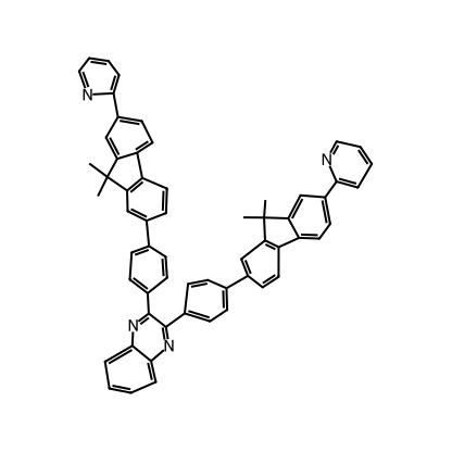 CC1(C)c2cc(-c3ccc(-c4nc5ccccc5nc4-c4ccc(-c5ccc6c(c5)C(C)(C)c5cc(-c7ccccn7)ccc5-6)cc4)cc3)ccc2-c2ccc(-c3ccccn3)cc21